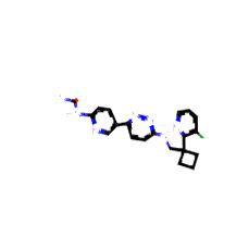 NC(=O)Nc1ccc(-c2ccc(NCC3(c4ncccc4F)CCC3)nn2)cn1